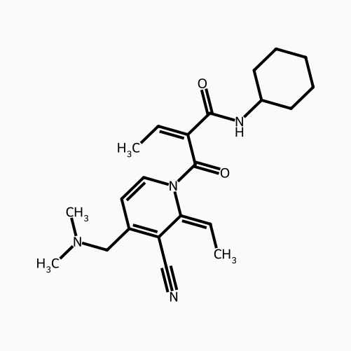 C/C=C(/C(=O)NC1CCCCC1)C(=O)N1C=CC(CN(C)C)=C(C#N)/C1=C\C